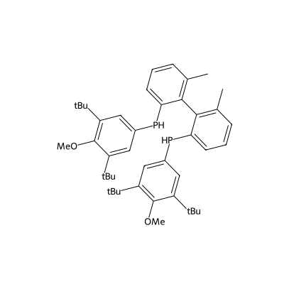 COc1c(C(C)(C)C)cc(Pc2cccc(C)c2-c2c(C)cccc2Pc2cc(C(C)(C)C)c(OC)c(C(C)(C)C)c2)cc1C(C)(C)C